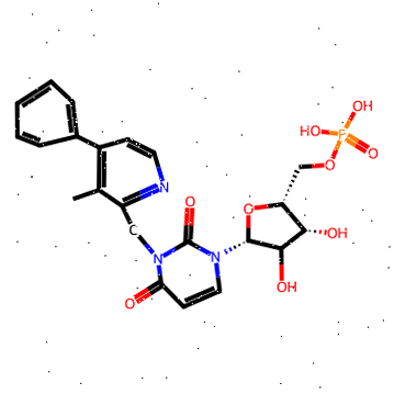 Cc1c(-c2ccccc2)ccnc1Cn1c(=O)ccn([C@@H]2O[C@H](COP(=O)(O)O)[C@H](O)C2O)c1=O